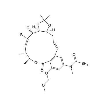 BC(=O)N(C)c1cc2c(c(OCOC)c1)C(=O)O[C@@H](C)[C@H](C)/C=C(/F)C(=O)[C@H]1OC(C)(C)O[C@H]1C/C=C/2